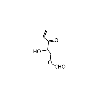 C=CC(=O)C(O)COC=O